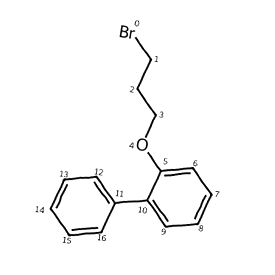 BrCCCOc1ccccc1-c1ccccc1